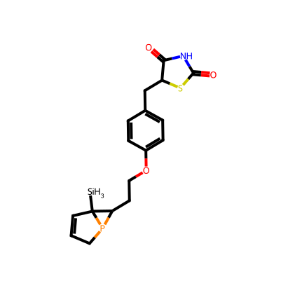 O=C1NC(=O)C(Cc2ccc(OCCC3P4CC=CC34[SiH3])cc2)S1